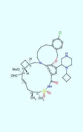 CO[C@@]1(C=O)/C=C/C[C@H](C)[C@@H](C)S(=O)(=O)NC(=O)c2cc(C3CNCCN3C3CCC3)c3c(c2)N(CCCCc2cc(Cl)ccc2CO3)C[C@@H]2CC[C@H]21